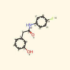 O=C(Cc1cccc(O)c1)Nc1ccc(F)cc1